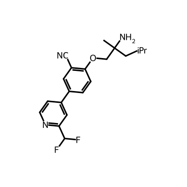 CC(C)CC(C)(N)COc1ccc(-c2ccnc(C(F)F)c2)cc1C#N